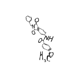 COc1ccc(C(=O)Nc2ccc3c(c2)C(=O)N(Cc2ccccc2)C3=O)cc1